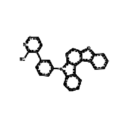 N#Cc1ncccc1-c1cccc(-n2c3ccccc3c3c4c(ccc32)oc2ccccc24)c1